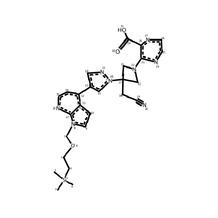 C[Si](C)(C)CCOCn1ccc2c(-c3cnn(C4(CC#N)CN(c5nccnc5C(=O)O)C4)c3)ccnc21